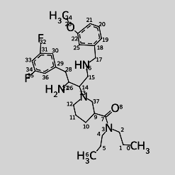 CCCN(CCC)C(=O)C1CCCN(C(CNCc2cccc(OC)c2)C(N)Cc2cc(F)cc(F)c2)C1